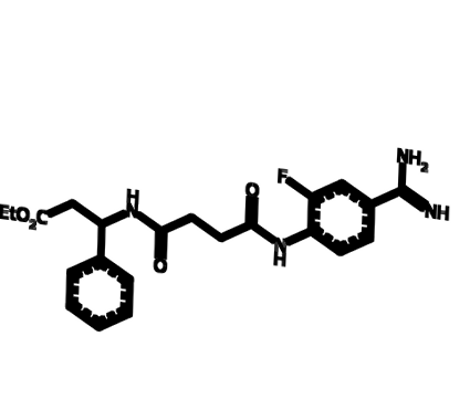 CCOC(=O)CC(NC(=O)CCC(=O)Nc1ccc(C(=N)N)cc1F)c1ccccc1